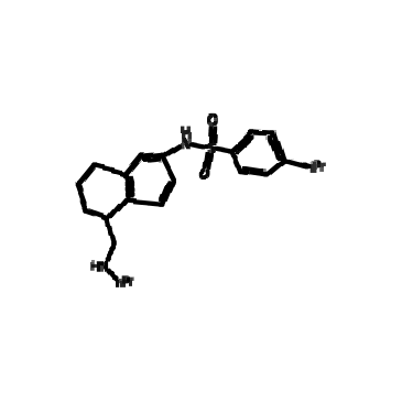 CCCNCC1CCCc2cc(NS(=O)(=O)c3ccc(C(C)C)cc3)ccc21